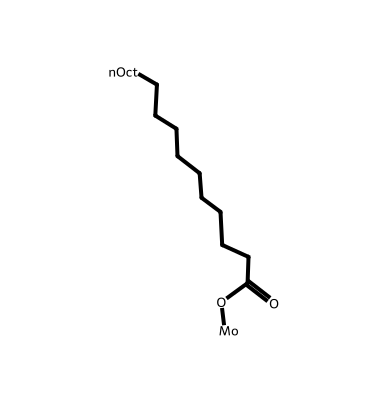 CCCCCCCCCCCCCCCCCC(=O)[O][Mo]